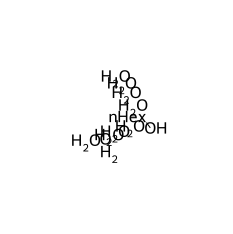 CCCCCCO.O.O.O.O.O.O.O.O.O